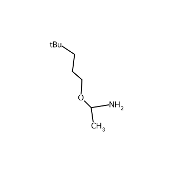 CC(N)OCCCC(C)(C)C